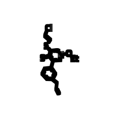 C=CCc1cccc(-c2cn(OCC)cc(S/C=C/Cl)c2=S)c1